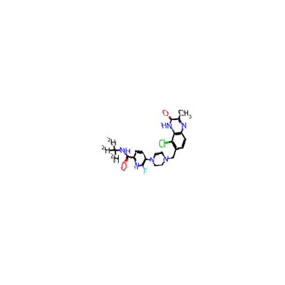 [2H]C([2H])([2H])NC(=O)c1ccc(N2CCN(Cc3ccc4nc(C)c(=O)[nH]c4c3Cl)CC2)c(F)n1